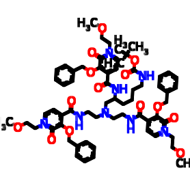 COCCn1ccc(C(=O)NCCN(CCNC(=O)c2ccn(CCOC)c(=O)c2OCc2ccccc2)CC(CCCCNC(=O)OC(C)(C)C)NC(=O)c2ccn(CCOC)c(=O)c2OCc2ccccc2)c(OCc2ccccc2)c1=O